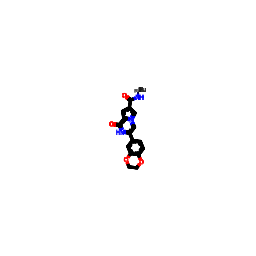 CC[C@H](C)NC(=O)c1cc2c(=O)[nH]c(-c3ccc4c(c3)OCCO4)cn2c1